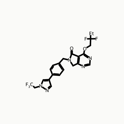 CCC(F)(F)COc1ncnc2c1C(=O)N(Cc1ccc(-c3cnn(CC(F)(F)F)c3)cc1)C2